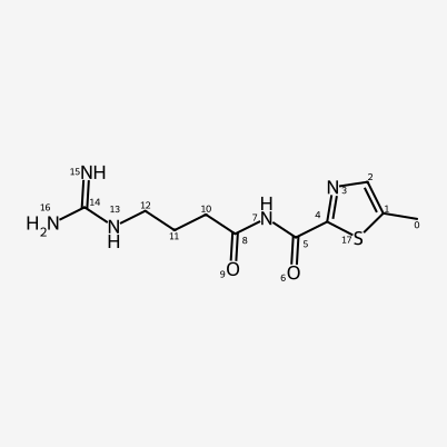 Cc1cnc(C(=O)NC(=O)CCCNC(=N)N)s1